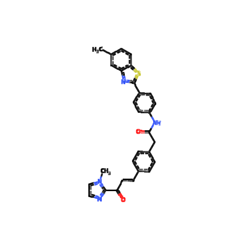 Cc1ccc2sc(-c3ccc(NC(=O)Cc4ccc(C=CC(=O)c5nccn5C)cc4)cc3)nc2c1